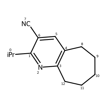 CC(C)c1nc2c(cc1C#N)CCCCC2